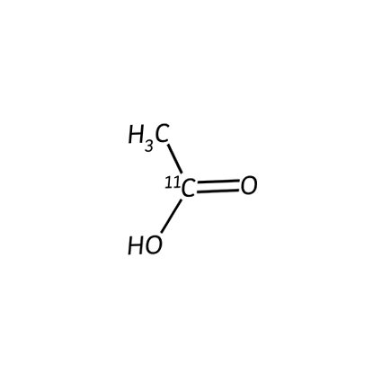 C[11C](=O)O